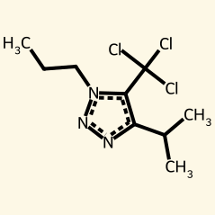 CCCn1nnc(C(C)C)c1C(Cl)(Cl)Cl